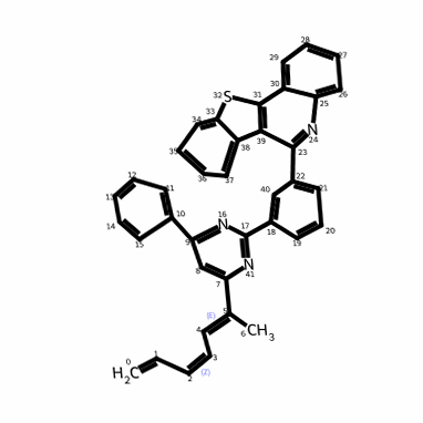 C=C/C=C\C=C(/C)c1cc(-c2ccccc2)nc(-c2cccc(-c3nc4ccccc4c4sc5ccccc5c34)c2)n1